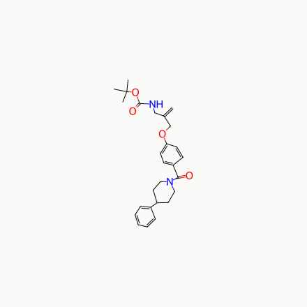 C=C(CNC(=O)OC(C)(C)C)COc1ccc(C(=O)N2CCC(c3ccccc3)CC2)cc1